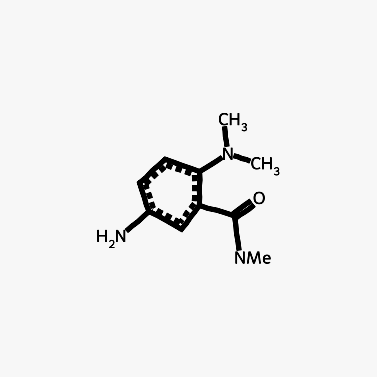 CNC(=O)c1cc(N)ccc1N(C)C